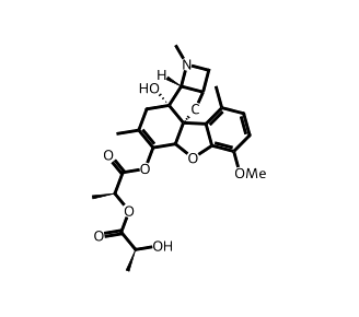 COc1ccc(C)c2c1OC1C(OC(=O)[C@H](C)OC(=O)[C@H](C)O)=C(C)C[C@@]3(O)[C@H]4C(CN4C)C[C@]213